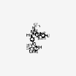 COC(=O)C(NC(=O)c1ccc(Nc2nc(NC3(c4ccc(Cl)cc4)CC3)nc(OCC(F)(F)F)n2)cc1)C1CCCNC1